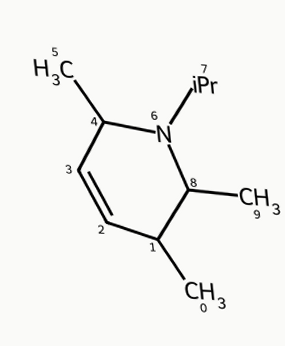 CC1C=CC(C)N(C(C)C)C1C